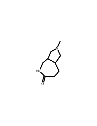 CN1CC2CCC(=O)NCC2C1